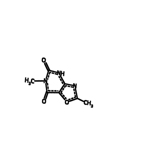 Cc1nc2[nH]c(=O)n(C)c(=O)c2o1